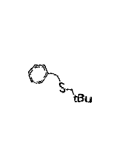 CC(C)(C)CSCc1ccccc1